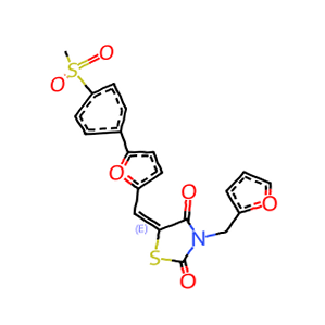 CS(=O)(=O)c1ccc(-c2ccc(/C=C3/SC(=O)N(Cc4ccco4)C3=O)o2)cc1